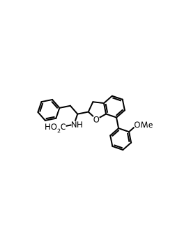 COc1ccccc1-c1cccc2c1OC(C(Cc1ccccc1)NC(=O)O)C2